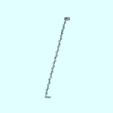 CCCCCCCCCCCCCOCCOCCOCCOCCOCCOCCOCCOCCOCCOCCOCCOCCOCCOCCOCCOCCOCCOCCOCCOCCOCCOCCOCCOCCOCCOCCOCCOP(=O)(O)O